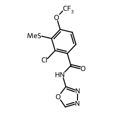 CSc1c(OC(F)(F)F)ccc(C(=O)Nc2nnco2)c1Cl